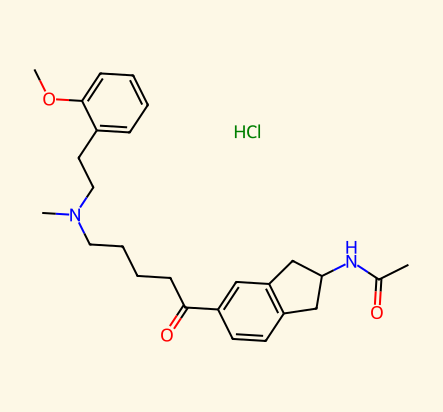 COc1ccccc1CCN(C)CCCCC(=O)c1ccc2c(c1)CC(NC(C)=O)C2.Cl